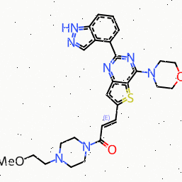 COCCN1CCN(C(=O)/C=C/c2cc3nc(-c4cccc5[nH]ncc45)nc(N4CCOCC4)c3s2)CC1